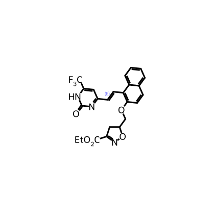 CCOC(=O)C1=NOC(COc2ccc3ccccc3c2/C=C/c2cc(C(F)(F)F)[nH]c(=O)n2)C1